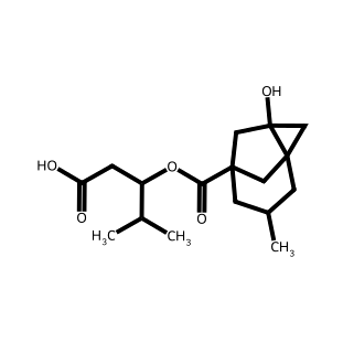 CC1CC2(C(=O)OC(CC(=O)O)C(C)C)CC3(O)CC3(C1)C2